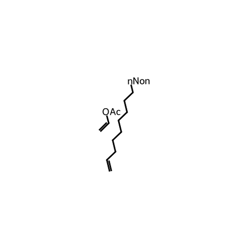 C=CCCCCCCCCCCCCCCCC.C=COC(C)=O